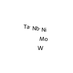 [Mo].[Nb].[Ni].[Ta].[W]